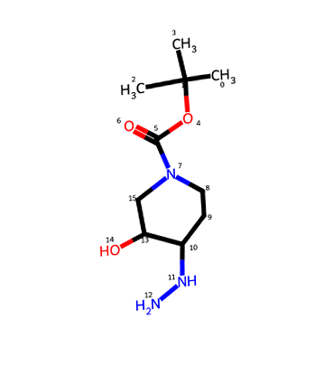 CC(C)(C)OC(=O)N1CCC(NN)C(O)C1